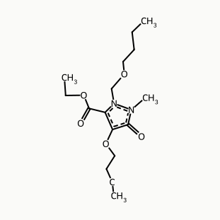 CCCCOCn1c(C(=O)OCC)c(OCCCC)c(=O)n1C